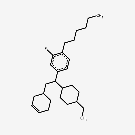 CCCCCCc1ccc(C(CC2CC=CCC2)C2CCC(CC)CC2)cc1F